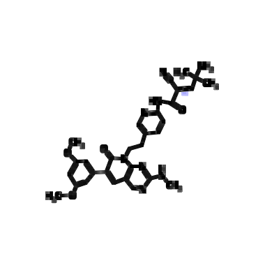 CNc1ncc2cc(-c3cc(OC)cc(OC)c3)c(=O)n(CCc3ccc(NC(=O)/C(C#N)=C/C(C)(C)N)nc3)c2n1